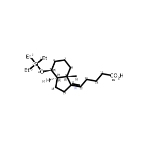 CC[Si](CC)(CC)O[C@H]1CCC[C@]2(C)/C(=C\CCCC(=O)O)CC[C@@H]12